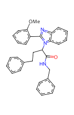 COc1ccccc1-c1nc2ccccc2n1C(CCc1ccccc1)C(=O)NCc1ccccc1